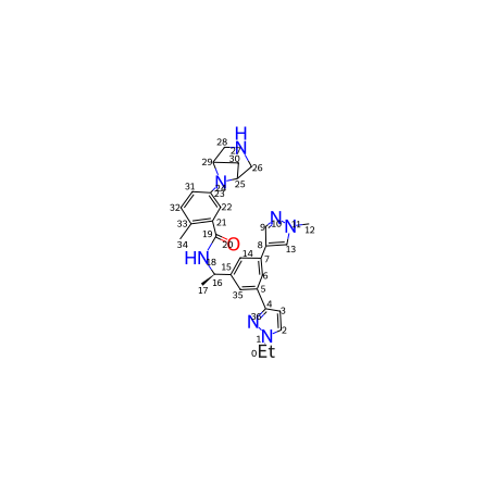 CCn1ccc(-c2cc(-c3cnn(C)c3)cc([C@@H](C)NC(=O)c3cc(N4C5CNCC4C5)ccc3C)c2)n1